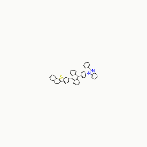 c1ccc(-c2nc3ccccc3n2-c2ccc(-c3c4ccccc4c(-c4ccc5c(c4)sc4c6ccccc6ccc54)c4ccccc34)cc2)cc1